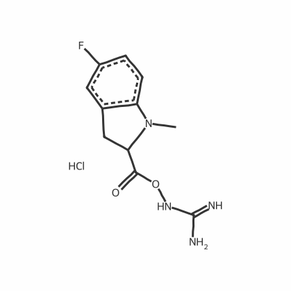 CN1c2ccc(F)cc2CC1C(=O)ONC(=N)N.Cl